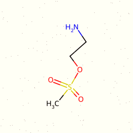 CS(=O)(=O)OCCN